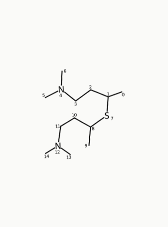 CC(CCN(C)C)SC(C)CCN(C)C